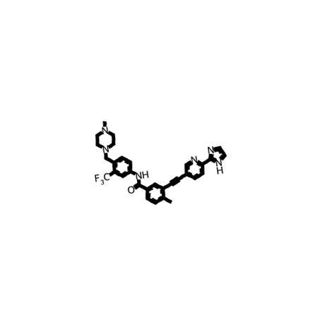 Cc1ccc(C(=O)Nc2ccc(CN3CCN(C)CC3)c(C(F)(F)F)c2)cc1C#Cc1ccc(-c2ncc[nH]2)nc1